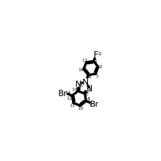 Fc1ccc(-n2nc3c(Br)ccc(Br)c3n2)cc1